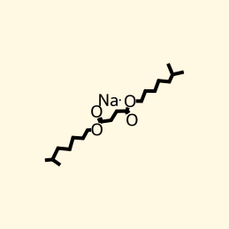 CC(C)CCCCCOC(=O)CCC(=O)OCCCCCC(C)C.[Na]